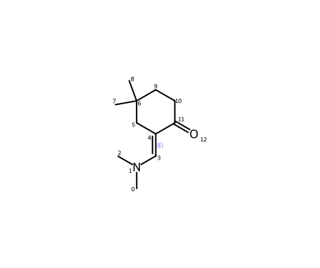 CN(C)/C=C1\CC(C)(C)CCC1=O